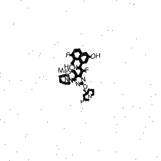 C#Cc1c(F)ccc2cc(O)cc(-c3nc(SC)c4c(N5CC6CCC(C5)N6)nc(OC[C@@]56CCCN5C[C@H](F)C6)nc4c3F)c12